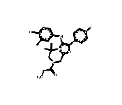 Cc1cc(Nc2c(-c3ccc(F)cc3)nc3n2C(C)(C)CN(C(=O)CN)C3)ccc1Cl